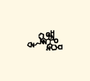 Cn1cc(C2=C(c3nn(CCCN4CCCC4)c4ccccc34)C(=O)NC2=O)c2cc(Cl)ccc21